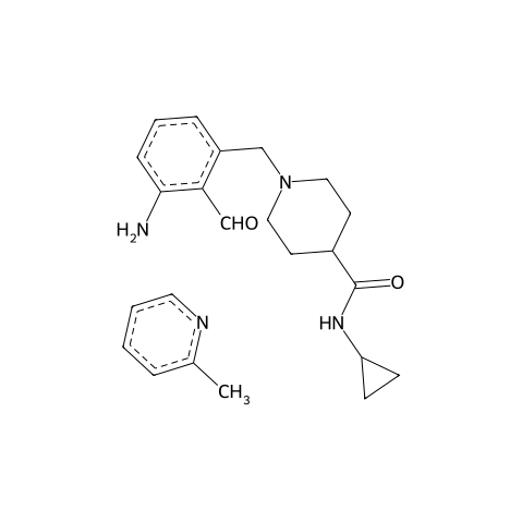 Cc1ccccn1.Nc1cccc(CN2CCC(C(=O)NC3CC3)CC2)c1C=O